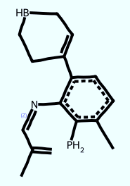 C=C(C)/C=N\c1c(C2=CCBCC2)ccc(C)c1P